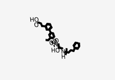 CCc1cc(-c2cccc(CCC(=O)O)c2)ccc1S(=O)(=O)N(C)C[C@H](O)CNC(C)(C)CCCc1ccccc1